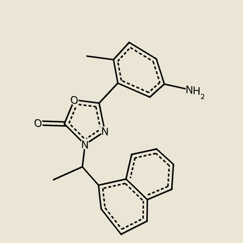 Cc1ccc(N)cc1-c1nn(C(C)c2cccc3ccccc23)c(=O)o1